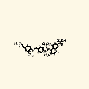 CCNc1ccc(/N=N/c2ccc(/N=N/c3c(N)ccc4cc(S(=O)(=O)O)cc(O)c34)c(S(=O)(=O)O)c2)c(C)c1